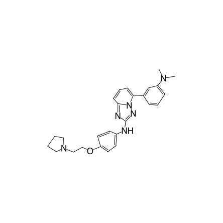 CN(C)c1cccc(-c2cccc3nc(Nc4ccc(OCCN5CCCC5)cc4)nn23)c1